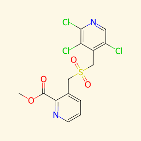 COC(=O)c1ncccc1CS(=O)(=O)Cc1c(Cl)cnc(Cl)c1Cl